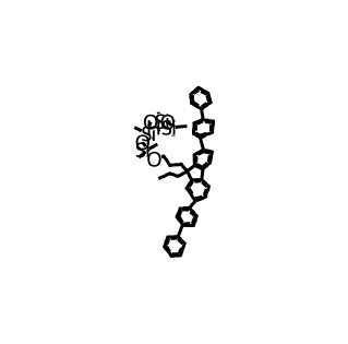 CCCC1(CCCO[Si](C)(C)O[Si](C)(C)O[Si](C)(C)O[SiH](C)C)c2cc(-c3ccc(-c4ccccc4)cc3)ccc2-c2ccc(-c3ccc(-c4ccccc4)cc3)cc21